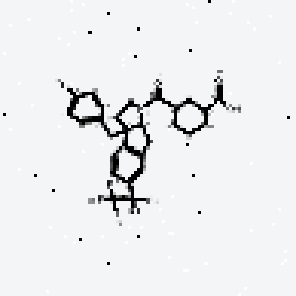 CC(F)(c1ccc2c(c1)CC1N(C(=O)C3CCCC(C(=O)O)C3)CCC21Cc1ccc(F)cc1)C(F)(F)F